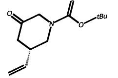 C=C[C@@H]1CC(=O)CN(C(=O)OC(C)(C)C)C1